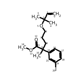 C=CC(C)(C)OCCCC(C)(C(=O)OC)c1cccc(I)c1